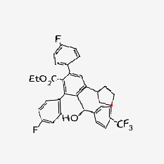 CCOC(=O)c1c(-c2ccc(F)cc2)cc(C2CCCC2)c(C(O)c2ccc(C(F)(F)F)cc2)c1-c1ccc(F)cc1